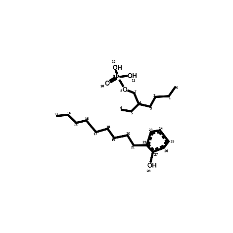 CCCCC(CC)COP(=O)(O)O.CCCCCCCCCc1ccccc1O